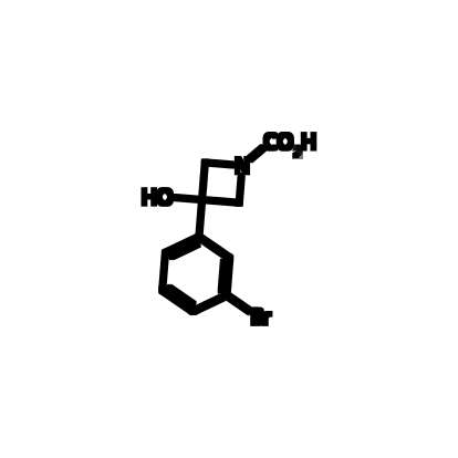 O=C(O)N1CC(O)(c2cccc(Br)c2)C1